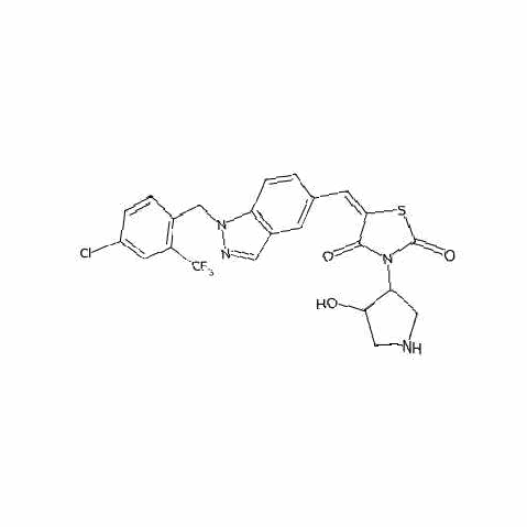 O=C1SC(=Cc2ccc3c(cnn3Cc3ccc(Cl)cc3C(F)(F)F)c2)C(=O)N1C1CNCC1O